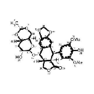 COc1cc([C@@H]2c3cc4c(cc3[C@@H](O[C@@H]3O[C@@H]5CO[C@@H](C)O[C@H]5C[C@H]3O)[C@H]3COC(=O)[C@H]23)OCO4)cc(OC)c1O